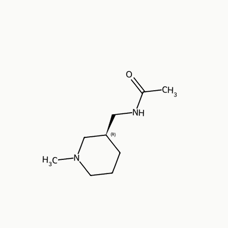 CC(=O)NC[C@H]1CCCN(C)C1